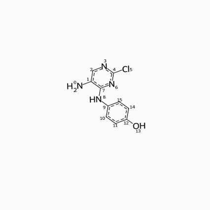 Nc1cnc(Cl)nc1Nc1ccc(O)cc1